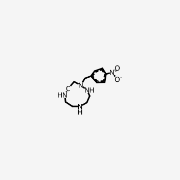 O=[N+]([O-])c1ccc(CN2CCNCCNCCN2)cc1